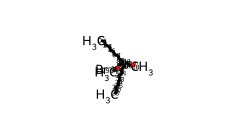 CCCCCCCCCC[N+](CCCC)(CCCC)CCCCCCCCCC.[Br-]